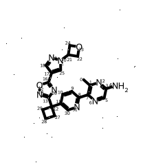 Cc1nc(N)cnc1-c1ccc(C2(c3noc(-c4cnn(C5COC5)c4)n3)CCC2)cn1